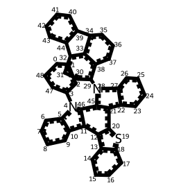 c1ccc(-n2c3ccccc3c3c4c5ccccc5sc4c4c5ccccc5n(-c5ccc6c7c(cccc57)-c5ccccc5-6)c4c32)cc1